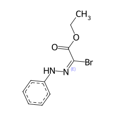 CCOC(=O)/C(Br)=N\Nc1ccccc1